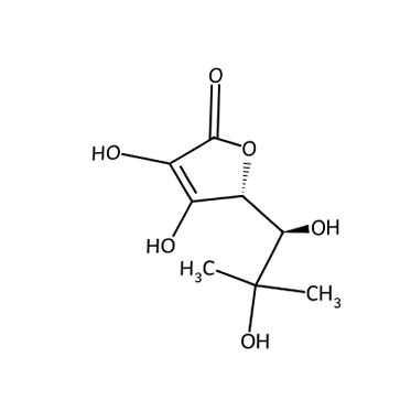 CC(C)(O)[C@H](O)[C@H]1OC(=O)C(O)=C1O